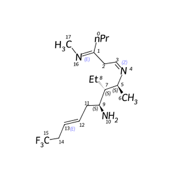 CCC/C(C/C=N\[C@@H](C)[C@@H](CC)[C@@H](N)C/C=C/CC(F)(F)F)=N\C